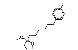 CC[Si](CCCCCCc1ccc(F)cc1)(OC)OC